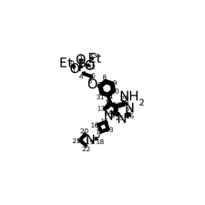 CCOP(=O)(CCOc1cccc(-c2cn([C@H]3C[C@@H](CN4CCC4)C3)c3ncnc(N)c23)c1)OCC